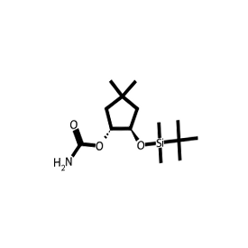 CC1(C)C[C@@H](OC(N)=O)[C@H](O[Si](C)(C)C(C)(C)C)C1